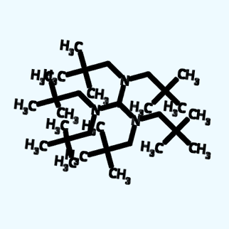 CC(C)(C)CN(CC(C)(C)C)[C](N(CC(C)(C)C)CC(C)(C)C)N(CC(C)(C)C)CC(C)(C)C